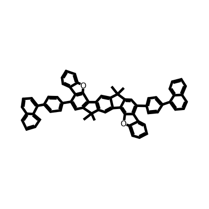 CC1(C)c2cc3c(cc2-c2c1cc(-c1ccc(-c4cccc5ccccc45)cc1)c1c2oc2ccccc21)C(C)(C)c1cc(-c2ccc(-c4cccc5ccccc45)cc2)c2c(oc4ccccc42)c1-3